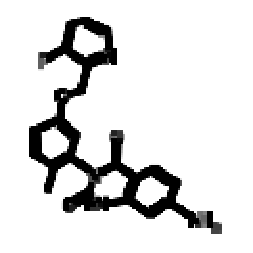 Cc1ccc(OCc2ncccc2F)cc1-n1c(=O)[nH]c2cc(N)ccc2c1=O